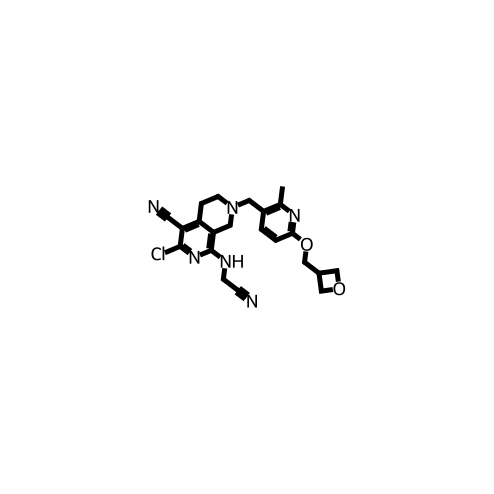 Cc1nc(OCC2COC2)ccc1CN1CCc2c(C#N)c(Cl)nc(NCC#N)c2C1